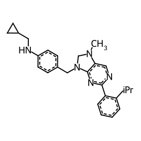 CC(C)c1ccccc1-c1ncc2c(n1)N(Cc1ccc(NCC3CC3)cc1)CN2C